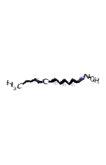 CCC/C=C/C/C=C/C=C/C=C/C=N/O